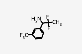 CC(F)(F)C(N)c1cccc(C(F)(F)F)c1